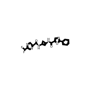 O=C(NC12CC(NC(=O)c3cnc(-c4ccccc4)o3)(C1)C2)c1cnc(C(F)F)cn1